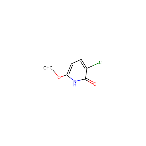 O=COc1ccc(Cl)c(=O)[nH]1